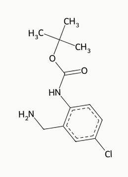 CC(C)(C)OC(=O)Nc1ccc(Cl)cc1CN